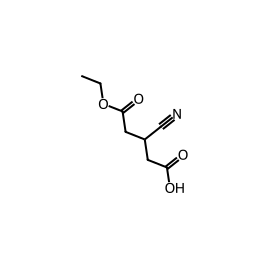 CCOC(=O)CC(C#N)CC(=O)O